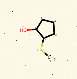 CSC1CCCC1O